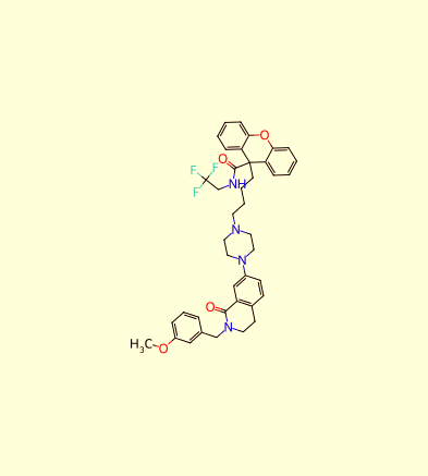 COc1cccc(CN2CCc3ccc(N4CCN(CCCCC5(C(=O)NCC(F)(F)F)c6ccccc6Oc6ccccc65)CC4)cc3C2=O)c1